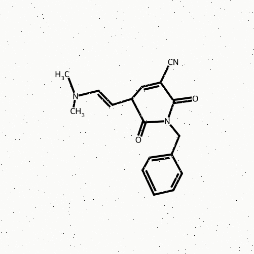 CN(C)C=CC1C=C(C#N)C(=O)N(Cc2ccccc2)C1=O